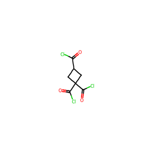 O=C(Cl)C1CC(C(=O)Cl)(C(=O)Cl)C1